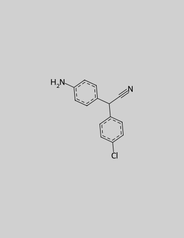 N#CC(c1ccc(N)cc1)c1ccc(Cl)cc1